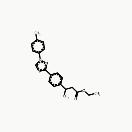 CCOC(=O)CC(C)c1ccc(-c2ncn(-c3ccc(C)cc3)n2)cc1